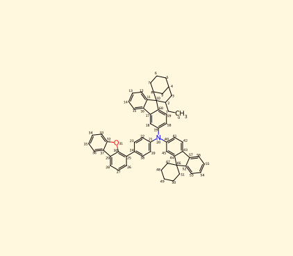 CCC1CC2CCCC(C2)C12c1ccccc1-c1cc(N(c3ccc(-c4cccc5c4oc4ccccc45)cc3)c3ccc4c(c3)C3(CCCCC3)c3ccccc3-4)ccc12